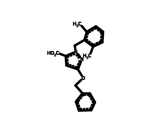 Cc1cccc(C)c1Cn1nc(OCc2ccccc2)cc1C(=O)O